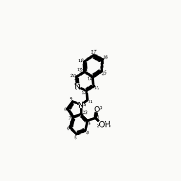 O=C(O)c1cccc2ccn(Cc3cc4ccccc4cn3)c12